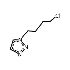 ClCCCCn1ccnn1